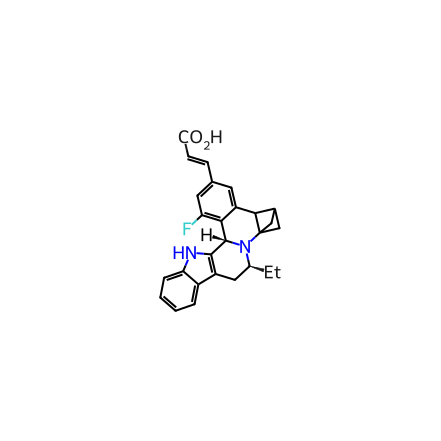 CC[C@H]1Cc2c([nH]c3ccccc23)[C@@H]2c3c(F)cc(/C=C/C(=O)O)cc3C3C4CC3(C4)N12